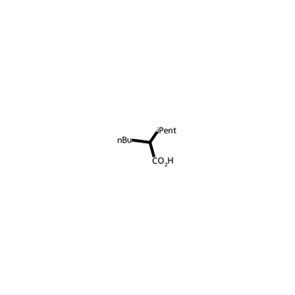 CCCCC(C(=O)O)C(C)CCC